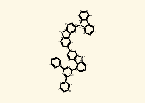 C1=CC(C2N=C(c3ccccc3)N=C(c3ccccc3)N2)C2C(=C1)Oc1cc(-c3ccc4oc5ccc(-n6c7ccccc7c7ccccc76)cc5c4c3)ccc12